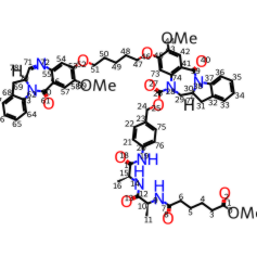 COC(=O)CCCCC(=O)N[C@@H](C)C(=O)N[C@@H](C)C(=O)Nc1ccc(COC(=O)N2C[C@@H]3Cc4ccccc4N3C(=O)c3cc(OC)c(OCCCCCOc4cc5c(cc4OC)C(=O)N4c6ccccc6C[C@H]4C=N5)cc32)cc1